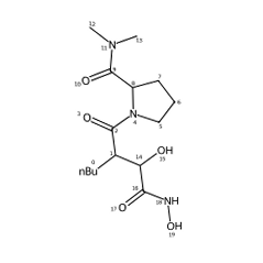 CCCCC(C(=O)N1CCCC1C(=O)N(C)C)C(O)C(=O)NO